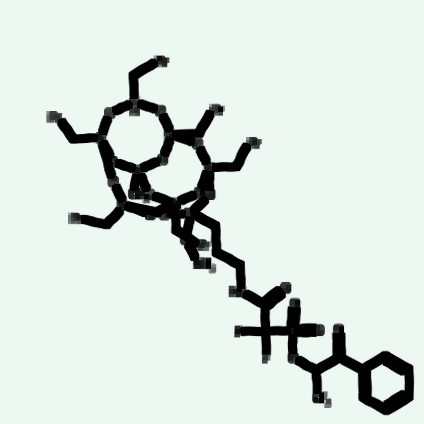 CC(C)C[SiH]1O[Si]2(CC(C)C)O[Si]3(C)O[Si](CC(C)C)(O1)O[Si]1(CC(C)C)O[Si](CCCNC(=O)C(F)(F)S(=O)(=O)OC(C(=O)c4ccccc4)C(F)(F)F)(O[SiH3])O[Si](CC(C)C)(O2)O[Si](CC(C)C)(O3)O1